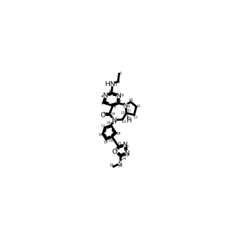 CCNc1ncc2c(n1)N1CCC[C@H]1CN(c1cccc(-c3nnc(SC)o3)c1)C2=O